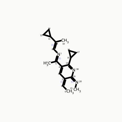 C/C=C1C=C(/C(C)=N/C=C(\C)C2CC2)C(C2CC2)=NC/1=N/C